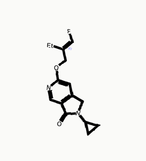 CC/C(=C\F)COc1cc2c(cn1)C(=O)N(C1CC1)C2